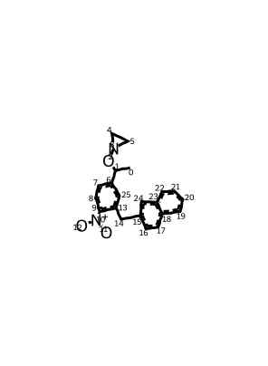 CC(ON1CC1)c1ccc([N+](=O)[O-])c(Cc2ccc3ccccc3c2)c1